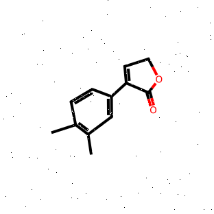 Cc1ccc(C2=CCOC2=O)cc1C